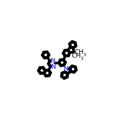 CC1(C)c2ccccc2-c2ccc(-c3cc(-c4nc(-c5ccccc5)cc(-c5cccc6ccccc56)n4)cc(-n4c5ccccc5c5ccccc54)c3)cc21